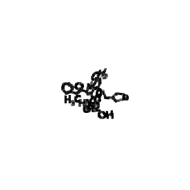 Cc1c(-c2cc(C(=O)NS(=O)(=O)CCO)c3c(OCCC4CCOCC4)ccc(C)c3n2)oc2ccccc12